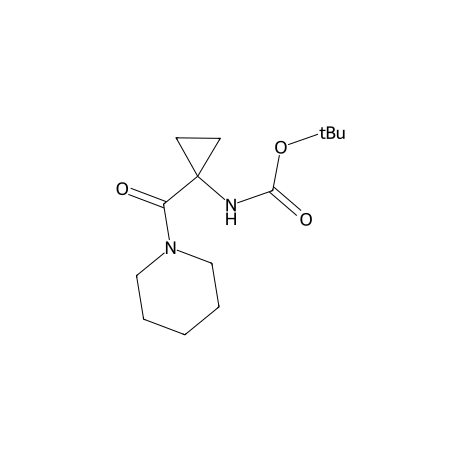 CC(C)(C)OC(=O)NC1(C(=O)N2CCCCC2)CC1